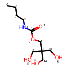 CCCCNC(=O)OCC(CO)(CO)CO